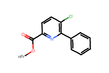 CCCOC(=O)c1ccc(Cl)c(-c2ccccc2)n1